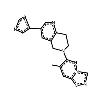 Cc1cc2nncn2nc1N1CCc2ncc(-c3cncs3)cc2C1